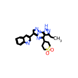 CCc1n[nH]c2c1c(C1CCS(=O)(=O)CC1)nc1c(-c3cnc4ccccc4c3)cnn12